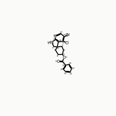 O=C(OC1CCC2(CC1)CNc1ncc(Br)c(Cl)c12)c1ccccc1